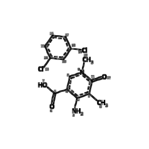 Cc1c(N)c(C(=O)O)cn(C)c1=O.Clc1cccc(Cl)c1